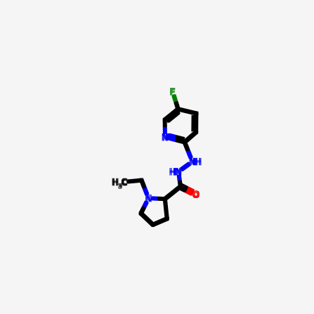 CCN1CCCC1C(=O)NNc1ccc(F)cn1